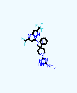 Nc1nc(N2CCC(CNc3cc(C(F)F)nc4cc(C(F)(F)F)nn34)(c3ccccc3)CC2)n[nH]1